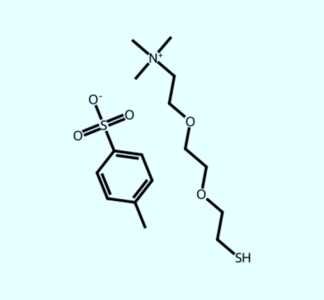 C[N+](C)(C)CCOCCOCCS.Cc1ccc(S(=O)(=O)[O-])cc1